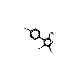 CCc1sc(C(=O)O)c(-c2ccc(Br)cc2)c1C#N